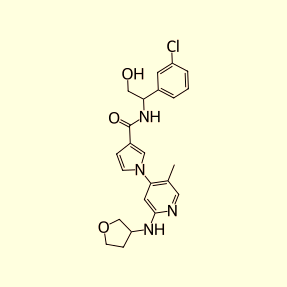 Cc1cnc(NC2CCOC2)cc1-n1ccc(C(=O)NC(CO)c2cccc(Cl)c2)c1